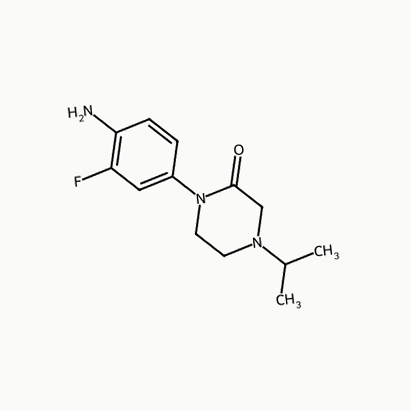 CC(C)N1CCN(c2ccc(N)c(F)c2)C(=O)C1